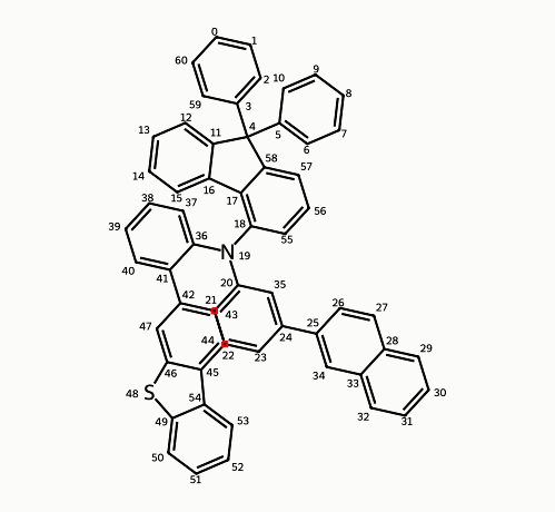 c1ccc(C2(c3ccccc3)c3ccccc3-c3c(N(c4cccc(-c5ccc6ccccc6c5)c4)c4ccccc4-c4ccc5c(c4)sc4ccccc45)cccc32)cc1